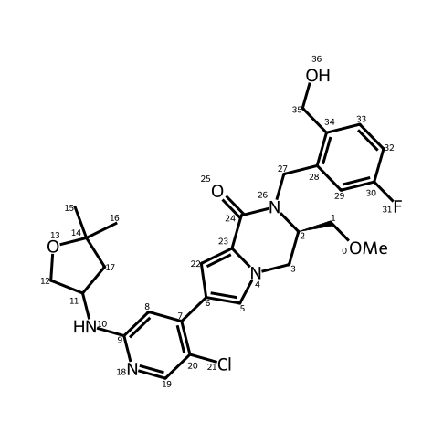 COC[C@H]1Cn2cc(-c3cc(NC4COC(C)(C)C4)ncc3Cl)cc2C(=O)N1Cc1cc(F)ccc1CO